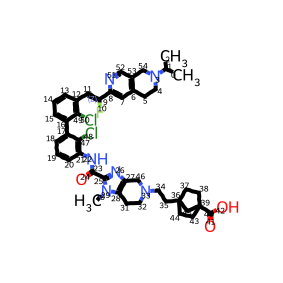 CC(C)N1CCc2cc(/C(F)=C/c3cccc(-c4cccc(NC(=O)c5nc6c(n5C)CCN(CCC57CCC(C(=O)O)(CC5)C7)C6)c4Cl)c3Cl)ncc2C1